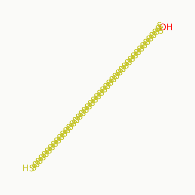 OS(=S)(=S)SSSSSSSSSSSSSSSSSSSSSSSSSSSSSSSSSSSSSSSSSSSSSSSSSSSSSSSSSSSSSSSSSSSSSSSSSSSSSSSSSSS